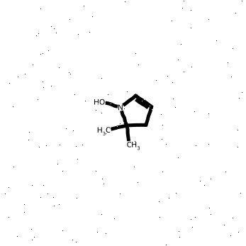 CC1(C)CC=CN1O